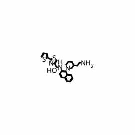 NCCC1CCCN(c2c(NC(O)c3csc(-c4cccs4)n3)ccc3ccccc23)C1